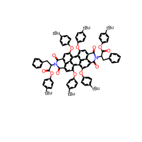 CC(C)(C)c1ccc(OC(=O)C(Cc2ccccc2)N2C(=O)c3cc(Oc4ccc(C(C)(C)C)cc4)c4c5c(Oc6ccc(C(C)(C)C)cc6)cc6c7c(cc(Oc8ccc(C(C)(C)C)cc8)c(c8c(Oc9ccc(C(C)(C)C)cc9)cc(c3c48)C2=O)c75)C(=O)N(C(Cc2ccccc2)C(=O)Oc2ccc(C(C)(C)C)cc2)C6=O)cc1